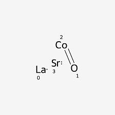 [La].[O]=[Co].[Sr]